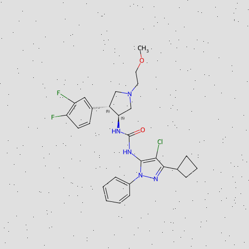 COCCN1C[C@@H](NC(=O)Nc2c(Cl)c(C3CCC3)nn2-c2ccccc2)[C@H](c2ccc(F)c(F)c2)C1